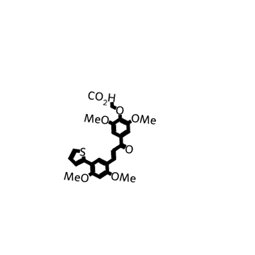 COc1cc(OC)c(-c2cccs2)cc1C=CC(=O)c1cc(OC)c(OCC(=O)O)c(OC)c1